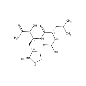 CC(C)C[C@H](NC(=O)O)C(=O)N[C@@H](C[C@@H]1CCNC1=O)C(O)C(N)=O